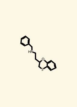 c1ccc(CNCCC2CSc3ccccc3O2)cc1